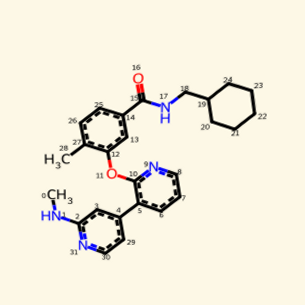 CNc1cc(-c2cccnc2Oc2cc(C(=O)NCC3CCCCC3)ccc2C)ccn1